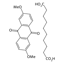 COc1ccc2c(c1)C(=O)c1ccc(OC)cc1C2=O.O=C(O)CCCCCCCCC(=O)O